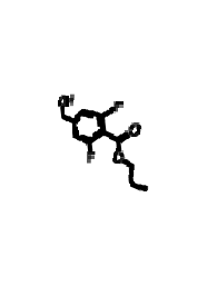 CCCOC(=O)c1c(F)cc(CO)cc1F